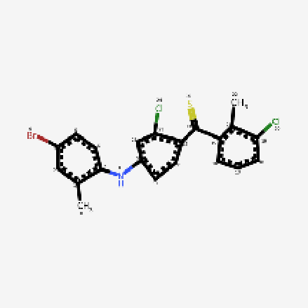 Cc1cc(Br)ccc1Nc1ccc(C(=S)c2cccc(Cl)c2C)c(Cl)c1